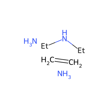 C=C.CCNCC.N.N